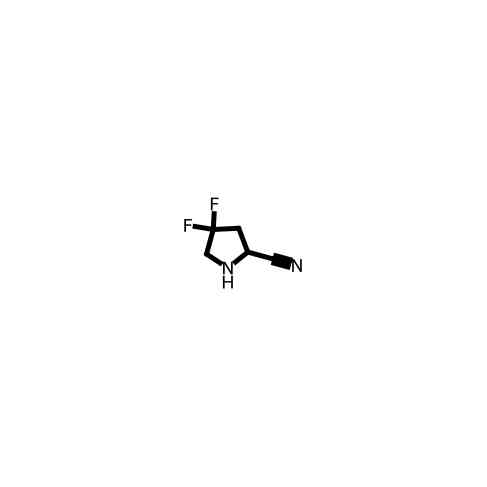 N#CC1CC(F)(F)CN1